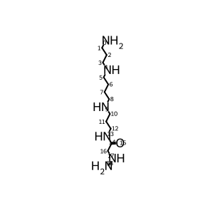 NCCCNCCCCNCCCNC(=O)CNN